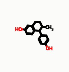 CC1CCc2cc(O)ccc2C1c1ccc(O)cc1